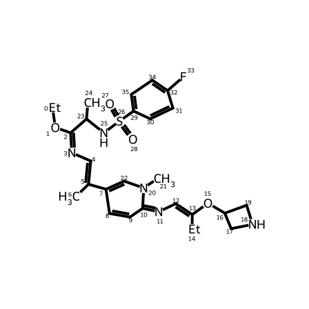 CCO/C(=N/C=C(\C)c1cc/c(=N/C=C(\CC)OC2CNC2)n(C)c1)C(C)NS(=O)(=O)c1ccc(F)cc1